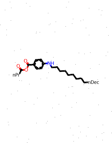 CCCCCCCCCCCCCCCCCCCNc1ccc(C(=O)OC(=O)CCC)cc1